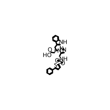 O=C(O)C[C@@H](Cc1c[nH]c2ccccc12)n1nncc1CNS(=O)(=O)c1ccc(-c2ccccc2)s1